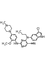 CCCN(c1ccc2[nH]cc(Cl)c2c1)c1nc(Nc2ccc(N3CCN(C)CC3)cc2OC)ncc1C#N